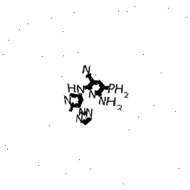 Cc1ncc(Nc2nc(N)c(P)cc2C#N)cc1-n1nccn1